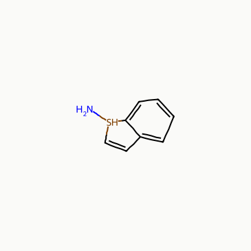 N[SH]1C=Cc2ccccc21